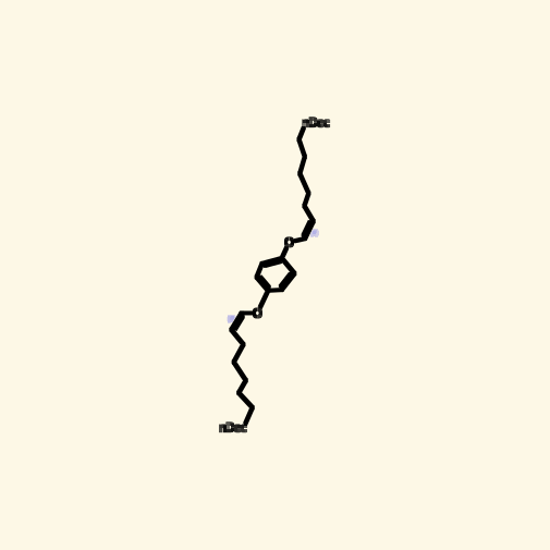 CCCCCCCCCCCCCCC/C=C\Oc1ccc(O/C=C\CCCCCCCCCCCCCCC)cc1